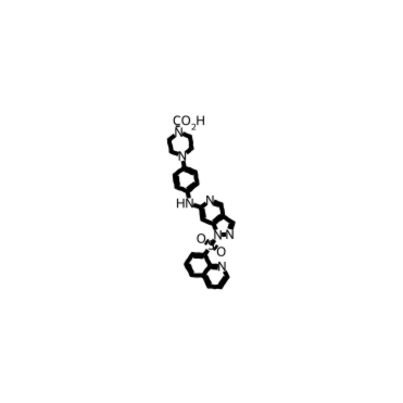 O=C(O)N1CCN(c2ccc(Nc3cc4c(cn3)cnn4S(=O)(=O)c3cccc4cccnc34)cc2)CC1